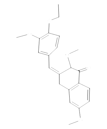 CCOc1ccc(C=C2Cc3cc(OC)ccc3C(=O)C2OC)cc1OC